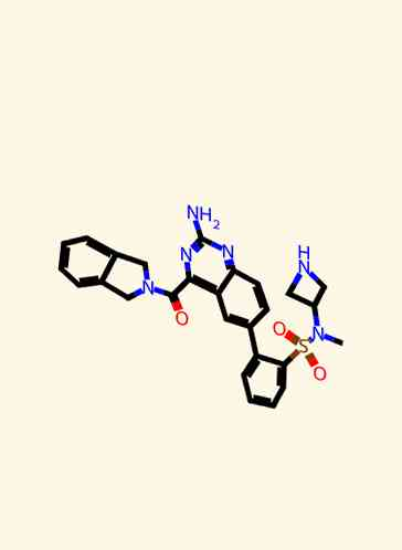 CN(C1CNC1)S(=O)(=O)c1ccccc1-c1ccc2nc(N)nc(C(=O)N3Cc4ccccc4C3)c2c1